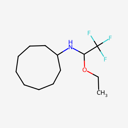 CCOC(NC1CCCCCCCC1)C(F)(F)F